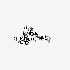 CCN(CC)CCNC(=O)c1ccc(Nc2cc3c(cn2)N(C)C(=O)c2ccccc2N3C)c(COC)c1